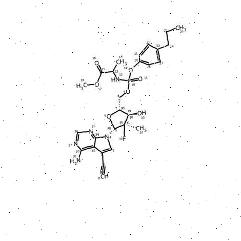 C#Cc1cn([C@@H]2O[C@H](COP(=O)(NC(C)C(=O)OC)Oc3ccc(CCC)cc3)[C@@H](O)[C@@]2(C)F)c2ncnc(N)c12